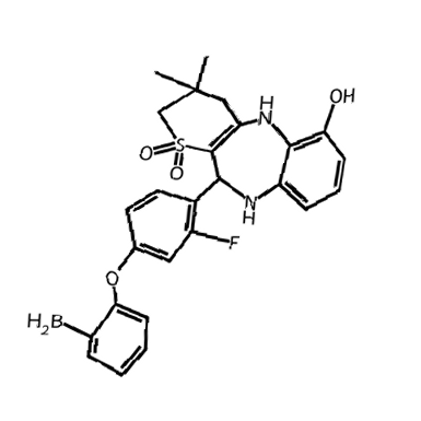 Bc1ccccc1Oc1ccc(C2Nc3cccc(O)c3NC3=C2S(=O)(=O)CC(C)(C)C3)c(F)c1